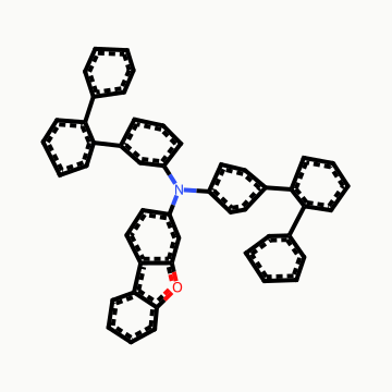 c1ccc(-c2ccccc2-c2ccc(N(c3cccc(-c4ccccc4-c4ccccc4)c3)c3ccc4c(c3)oc3ccccc34)cc2)cc1